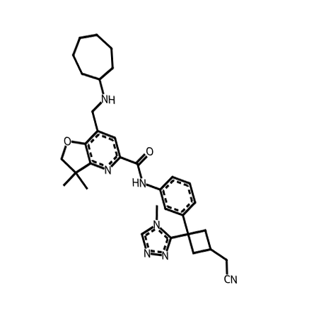 Cn1cnnc1C1(c2cccc(NC(=O)c3cc(CNC4CCCCCC4)c4c(n3)C(C)(C)CO4)c2)CC(CC#N)C1